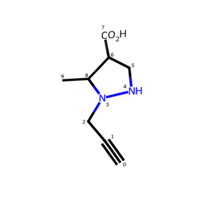 C#CCN1NCC(C(=O)O)C1C